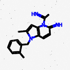 CC(=N)n1c(=N)ccc2c1cc(C)n2Cc1ccccc1C